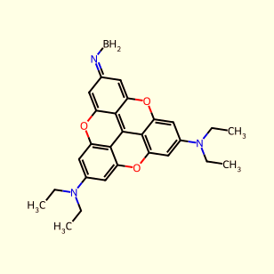 BN=c1cc2oc3cc(N(CC)CC)cc4oc5cc(N(CC)CC)cc6oc(c1)c2c(c43)c56